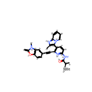 C=C1Oc2ccc(C#Cc3nc(NC(=O)C(C)NC)ccc3-c3c(C)nc4ccccn34)cc2N1C